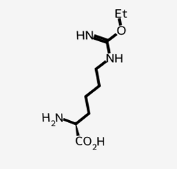 CCOC(=N)NCCCC[C@H](N)C(=O)O